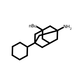 CCCCC12CC3CC(N)(C1)CC(C1CCCCC1)(C3)C2